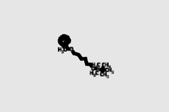 CC(C)(C)[Si](C)(C)OCCCCCCOC[C]12[CH]3[CH]4[CH]5[CH]1[Fe]45321678[CH]2[CH]1[CH]6[C]7(C)[CH]28